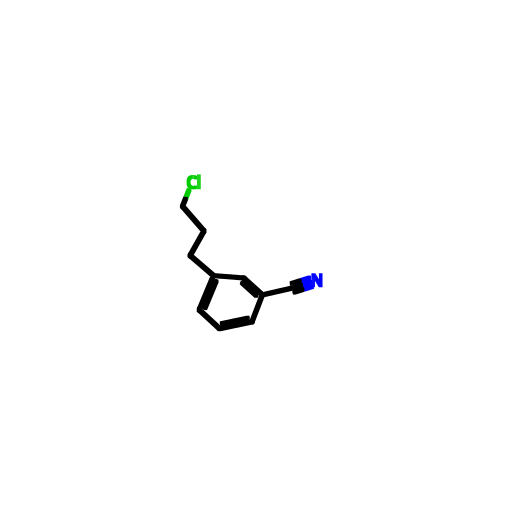 N#Cc1cccc(CCCCl)c1